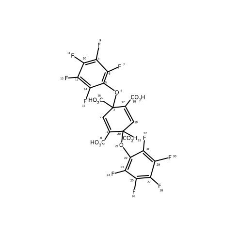 O=C(O)C1=CC(Oc2c(F)c(F)c(F)c(F)c2F)(C(=O)O)C(C(=O)O)=CC1(Oc1c(F)c(F)c(F)c(F)c1F)C(=O)O